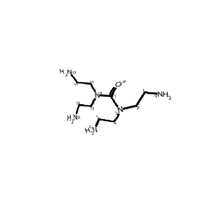 NCCN(CCN)C(=O)N(CCN)CCN